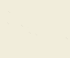 Cc1onc(-c2ccc(F)cc2)c1COc1ccc(N2CCn3ccnc3C2)nn1